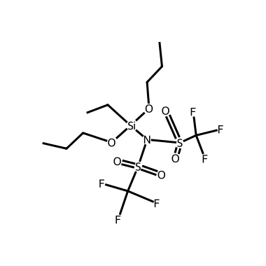 CCCO[Si](CC)(OCCC)N(S(=O)(=O)C(F)(F)F)S(=O)(=O)C(F)(F)F